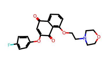 O=C1C=C(Oc2ccc(F)cc2)C(=O)c2c(OCCN3CCOCC3)cccc21